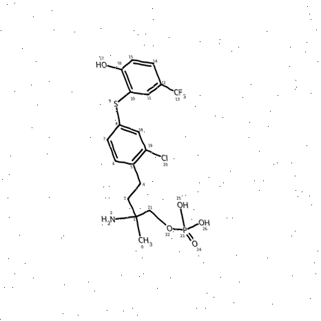 CC(N)(CCc1ccc(Sc2cc(C(F)(F)F)ccc2O)cc1Cl)COP(=O)(O)O